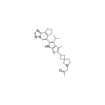 CC(=O)CN1CCC2(CC(c3sc4[nH]c(-c5cn6ncnc6c6c5CCC6)c(C(C)C)c4c3C)C2)C1